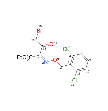 CCOC(=O)/C(=N/OCc1c(Cl)cccc1Cl)C(=O)CBr